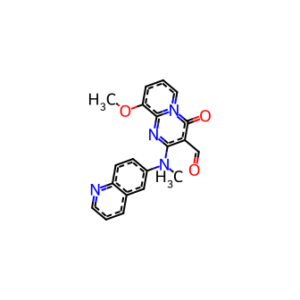 COc1cccn2c(=O)c(C=O)c(N(C)c3ccc4ncccc4c3)nc12